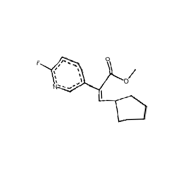 COC(=O)C(=CC1CCCC1)c1ccc(F)nc1